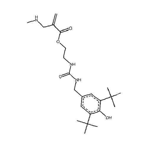 C=C(CNC)C(=O)OCCNC(=O)NCc1cc(C(C)(C)C)c(O)c(C(C)(C)C)c1